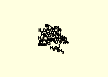 CCCC(=O)N(C)[C@H](CCCN(C)C)C(=O)N(C)[C@H](C(=O)N[C@H](C(=O)N(C)[C@@H](CC(C)C)C(=O)N[C@H](C)C(=O)N[C@@H](C)C(=O)N(C)[C@@H](CC(C)C)C(=O)NC)C(C)C)C(C)CC